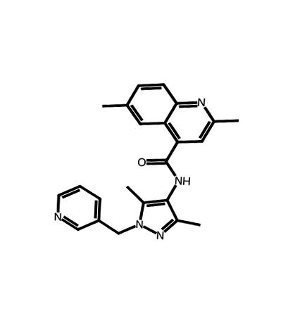 Cc1ccc2nc(C)cc(C(=O)Nc3c(C)nn(Cc4cccnc4)c3C)c2c1